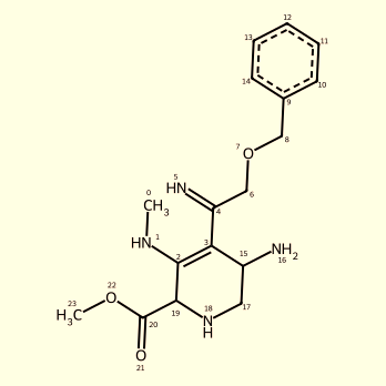 CNC1=C(C(=N)COCc2ccccc2)C(N)CNC1C(=O)OC